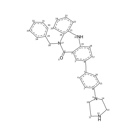 O=C1c2cc(-c3ccc(N4CCNCC4)cc3)ccc2Nc2ccccc2N1Cc1ccccc1